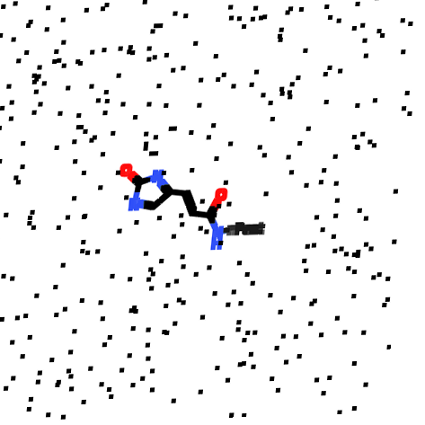 CCCCCNC(=O)C=CC1=NC(=O)N=C1